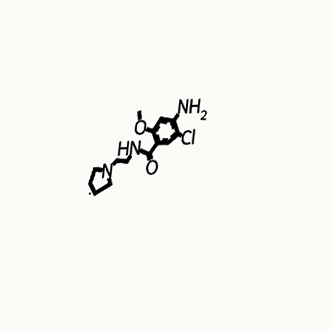 COc1cc(N)c(Cl)cc1C(=O)NCCN1C[CH]CC1